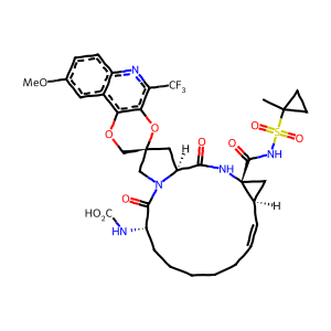 COc1ccc2nc(C(F)(F)F)c3c(c2c1)OC[C@]1(C[C@H]2C(=O)N[C@]4(C(=O)NS(=O)(=O)C5(C)CC5)C[C@H]4C=CCCCCC[C@H](NC(=O)O)C(=O)N2C1)O3